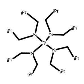 CC(C)C[N](CC(C)C)[Ti]([N](CC(C)C)CC(C)C)([N](CC(C)C)CC(C)C)[N](CC(C)C)CC(C)C